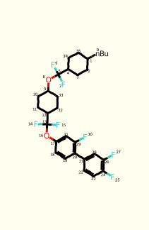 CCCCC1CCC(C(F)(F)OC2CCC(C(F)(F)Oc3ccc(-c4ccc(F)c(F)c4)c(F)c3)CC2)CC1